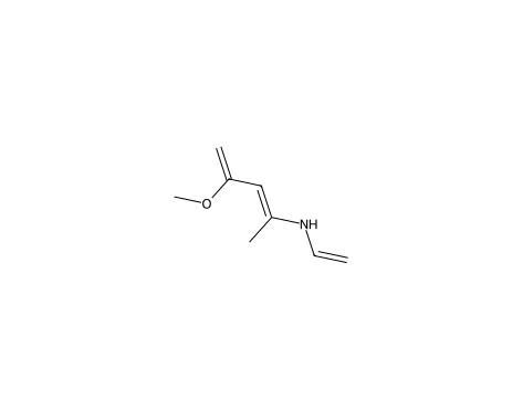 C=CN/C(C)=C/C(=C)OC